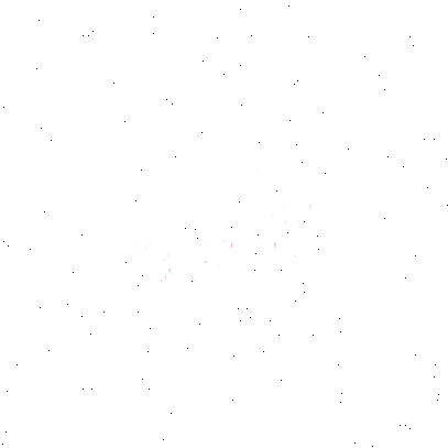 COc1cc(OC)c2c(=O)cc(Sc3ccc(O)c(O)c3)oc2c1